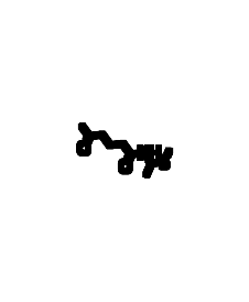 CSC(C)NC(=O)CCCC(C)=O